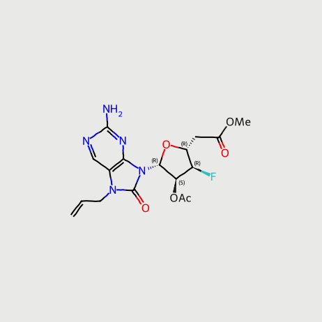 C=CCn1c(=O)n([C@@H]2O[C@H](CC(=O)OC)[C@@H](F)[C@H]2OC(C)=O)c2nc(N)ncc21